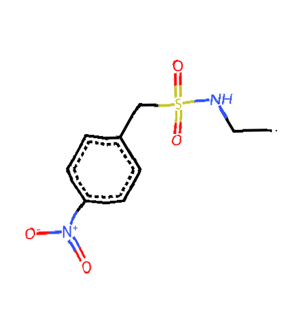 [CH2]CNS(=O)(=O)Cc1ccc([N+](=O)[O-])cc1